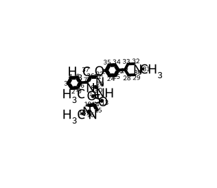 Cc1ccccc1-c1nc(NS(=O)(=O)c2cnn(C)c2)nc(Oc2ccc(C3CCN(C)CC3)cc2)c1C